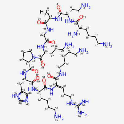 CC(NC(=O)[C@H](CCN)NC(=O)[C@@H](N)CCCCN)C(=O)NCC(=O)N[C@H](CCCN)C(=O)N1CCC[C@H]1C(=O)N[C@@H](Cc1cnc[nH]1)C(=O)N[C@@H](CCCCN)C(=O)N/C(=C\CCNC(=N)N)C(=O)NCCCCCN